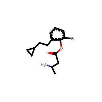 CC(N)CC(=O)Oc1c(CCC2CC2)cccc1C(C)C